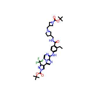 CCc1cc(Nc2nccn3c(-c4cn(C(=O)OC(C)(C)C)nc4C(F)(F)F)cnc23)ccc1C(=O)NCC1CCN(CC2CN(C(=O)OC(C)(C)C)C2)C1